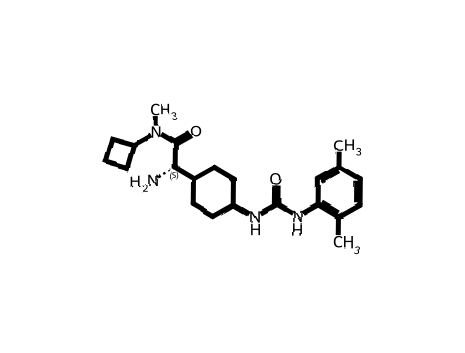 Cc1ccc(C)c(NC(=O)NC2CCC([C@H](N)C(=O)N(C)C3CCC3)CC2)c1